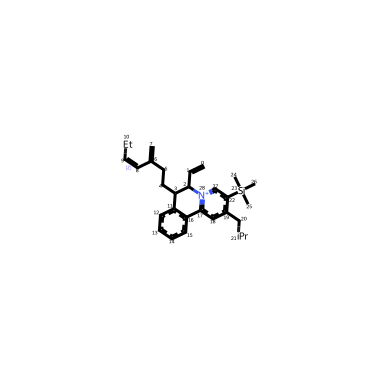 C=CC1C(CCC(=C)/C=C\CC)c2ccccc2-c2cc(CC(C)C)c([Si](C)(C)C)c[n+]21